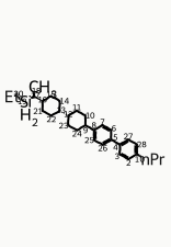 CCCc1ccc(-c2ccc(C3CCC([C@H]4CC[C@H](C(C)[SiH2]CC)CC4)CC3)cc2)cc1